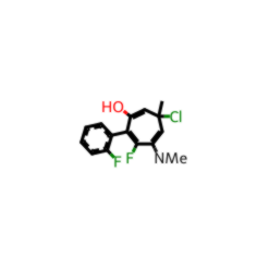 CNC1=CC(C)(Cl)C=C(O)C(c2ccccc2F)=C1F